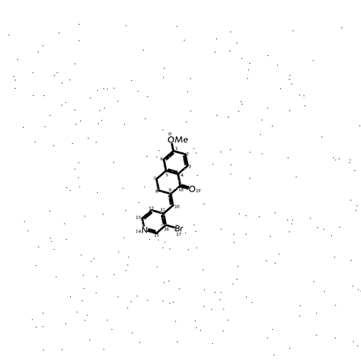 COc1ccc2c(c1)CCC(=Cc1ccncc1Br)C2=O